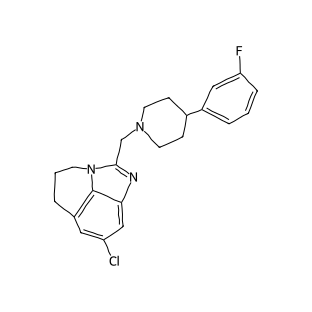 Fc1cccc(C2CCN(Cc3nc4cc(Cl)cc5c4n3CCC5)CC2)c1